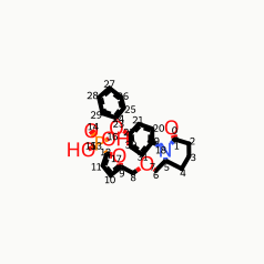 O=C1CCCC(COCc2ccc(P(=O)(O)O)o2)N1c1ccc(Oc2ccccc2)cc1